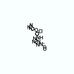 Clc1cc(Nc2ncnc3cnc(N4CC[C@@]5(CCOC5)C4)nc23)ccc1Oc1ccn2ncnc2c1